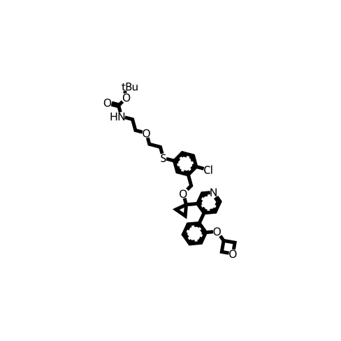 CC(C)(C)OC(=O)NCCOCCSc1ccc(Cl)c(COC2(c3cnccc3-c3ccccc3OC3COC3)CC2)c1